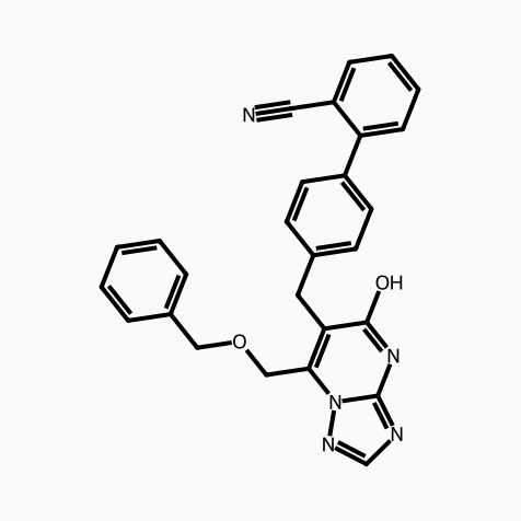 N#Cc1ccccc1-c1ccc(Cc2c(O)nc3ncnn3c2COCc2ccccc2)cc1